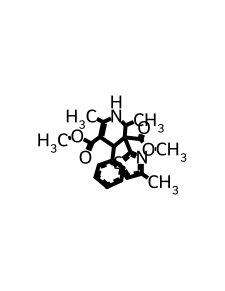 COC(=O)C1=C(C)NC(C)C(C(=O)OC)(c2nc(C)cs2)C1c1ccccc1